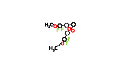 CCCCOc1ccc(C2CCC(OC(=O)c3ccccc3C3CCC(c4ccc(OCC)c(F)c4F)CC3)CC2)c(F)c1F